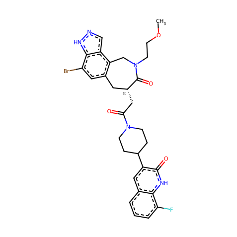 COCCN1Cc2c(cc(Br)c3[nH]ncc23)C[C@@H](CC(=O)N2CCC(c3cc4cccc(F)c4[nH]c3=O)CC2)C1=O